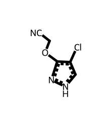 N#CCOc1n[nH]cc1Cl